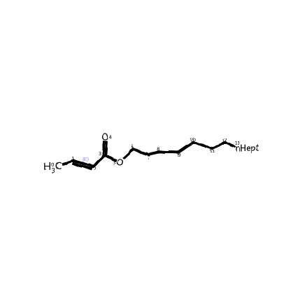 C/C=C/C(=O)OCCCCCCCCCCCCCC